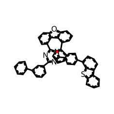 c1ccc(-c2cccc(-c3nc(-c4ccc(-c5cccc6c5sc5ccccc56)cc4)nc(-c4cccc5oc6cccc(-c7ccccc7)c6c45)n3)c2)cc1